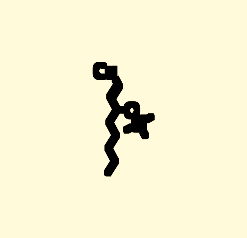 CCCCCC(/C=[CH]/[Cu])O[Si](C)(C)C